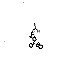 CC1(C)c2cc(N(c3ccccc3)c3cc4ccccc4o3)ccc2-c2sc(C=C(C#N)C#N)cc21